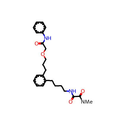 CNC(=O)C(=O)NCCCCc1ccccc1CCCOCC(=O)Nc1ccccc1